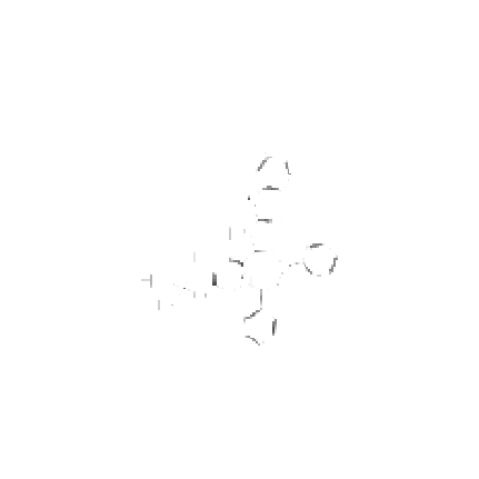 Cc1cccc(NC(=O)NC2CC(c3ccccc3)CC(c3ccccc3)N(CC(=O)OC(C)(C)C)C2=O)c1